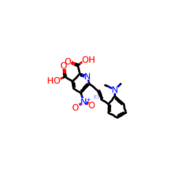 CN(C)c1ccccc1/C=C/c1nc(C(=O)O)c(C(=O)O)cc1[N+](=O)[O-]